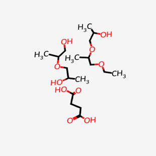 CC(O)COC(C)CO.CCOCC(C)OCC(C)O.O=C(O)CCC(=O)O